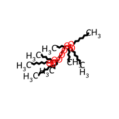 CCCCCCCCOC(CCCCCC)(OCCCCCCCC)OC(CCCC)OCOCOC(CCCC)OC(CCCCCC)(OCCCCCCCC)OCCCCCCCC